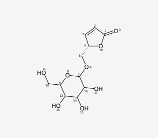 O=C1C=C[C@@H](COC2OC(CO)C(O)C(O)C2O)O1